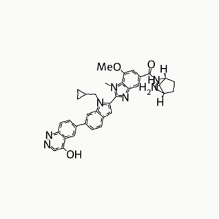 COc1cc(C(=O)N2C[C@H]3CC[C@@H]2[C@@H]3N)cc2nc(-c3cc4ccc(-c5ccc6nncc(O)c6c5)cc4n3CC3CC3)n(C)c12